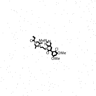 C=CC(=O)N1CC(C)N(CCCn2c(=O)c(-c3cc(OC)cc(OC)c3Cl)cc3cnc(NC)nc32)C(C)C1